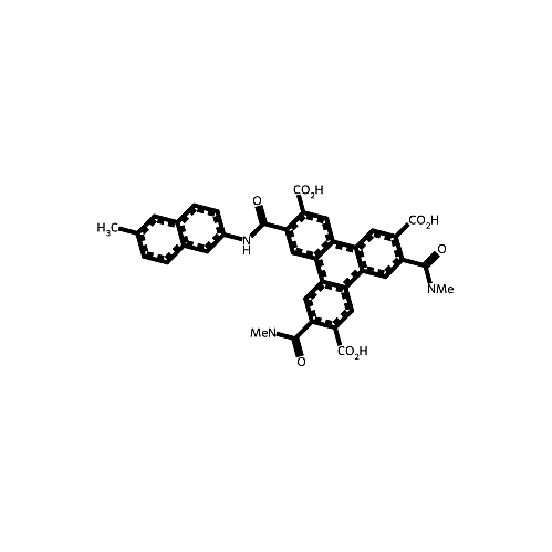 CNC(=O)c1cc2c(cc1C(=O)O)c1cc(C(=O)O)c(C(=O)Nc3ccc4cc(C)ccc4c3)cc1c1cc(C(=O)NC)c(C(=O)O)cc21